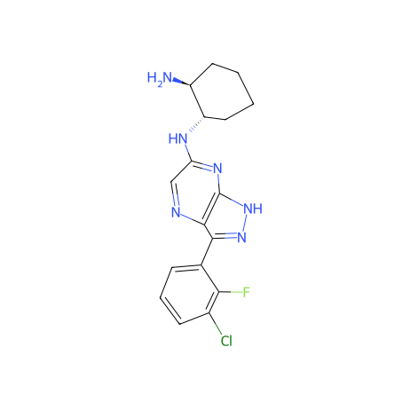 N[C@H]1CCCC[C@@H]1Nc1cnc2c(-c3cccc(Cl)c3F)n[nH]c2n1